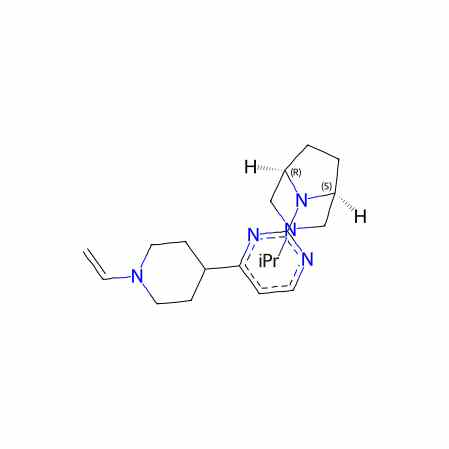 C=CN1CCC(c2ccnc(N3[C@@H]4CC[C@H]3CN(C(C)C)C4)n2)CC1